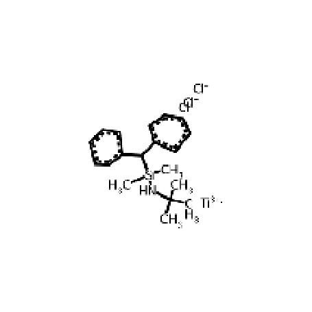 CC(C)(C)N[Si](C)(C)C(c1ccccc1)c1ccccc1.[Cl-].[Cl-].[Cl-].[Ti+3]